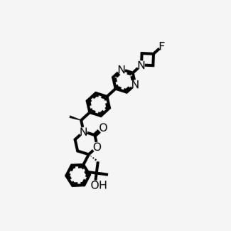 C[C@@H](c1ccc(-c2cnc(N3CC(F)C3)nc2)cc1)N1CC[C@](CC(C)(C)O)(c2ccccc2)OC1=O